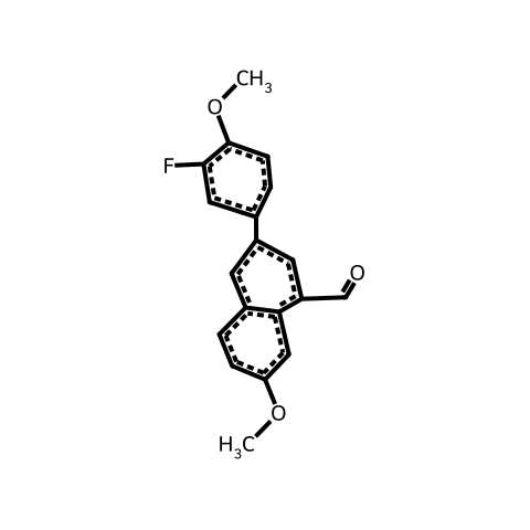 COc1ccc2cc(-c3ccc(OC)c(F)c3)cc(C=O)c2c1